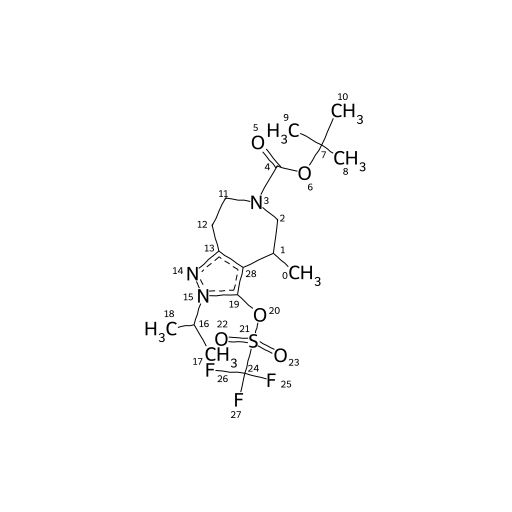 CC1CN(C(=O)OC(C)(C)C)CCc2nn(C(C)C)c(OS(=O)(=O)C(F)(F)F)c21